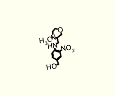 CN1CCOCC1CNc1ccc(CO)cc1[N+](=O)[O-]